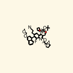 COCOc1cc(-c2c(CCC#N)cc3c4c(c(O[C@@H](C)[C@@H]5CCCN5C)nc3c2F)CCCN4C2C3CC2N(C(=O)OC(C)(C)C)C3)c2ccccc2c1